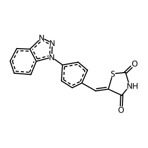 O=C1NC(=O)/C(=C/c2ccc(-n3nnc4ccccc43)cc2)S1